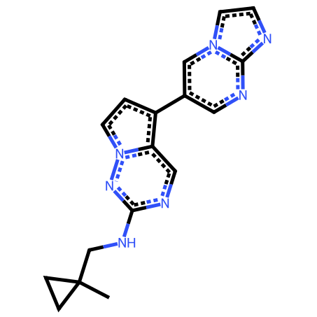 CC1(CNc2ncc3c(-c4cnc5nccn5c4)ccn3n2)CC1